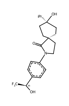 CC(C)[C@]1(O)CC[C@@]2(CCN(c3ccc([C@@H](O)C(F)(F)F)cc3)C2=O)CC1